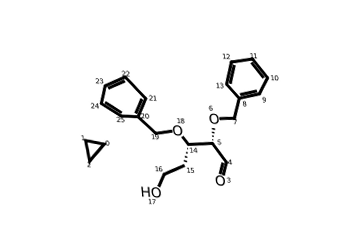 C1CC1.O=C[C@@H](OCc1ccccc1)[C@H](CCO)OCc1ccccc1